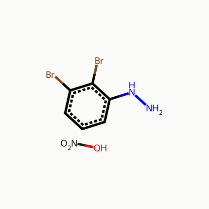 NNc1cccc(Br)c1Br.O=[N+]([O-])O